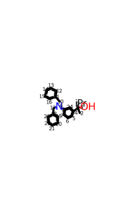 CC(C)C(C)(O)c1cccc(N(Cc2ccccc2)Cc2ccccc2)c1